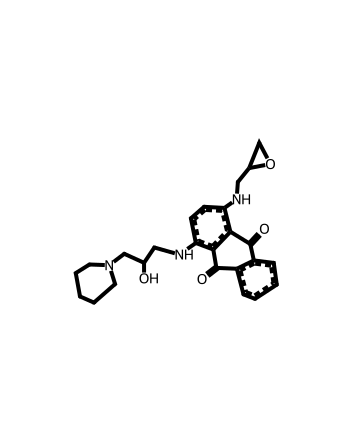 O=C1c2ccccc2C(=O)c2c(NCC3CO3)ccc(NCC(O)CN3CCCCC3)c21